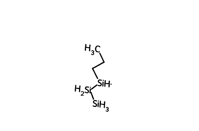 CCC[SiH][SiH2][SiH3]